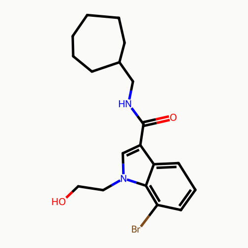 O=C(NCC1CCCCCC1)c1cn(CCO)c2c(Br)cccc12